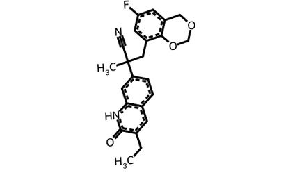 CCc1cc2ccc(C(C)(C#N)Cc3cc(F)cc4c3OCOC4)cc2[nH]c1=O